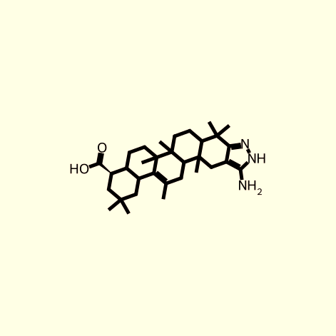 CC1=C2C3CC(C)(C)C[C@@H](C(=O)O)C3CCC2(C)C2(C)CCC3C(C)(C)c4n[nH]c(N)c4CC3(C)C2C1